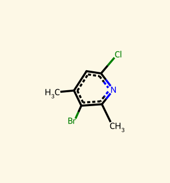 Cc1cc(Cl)nc(C)c1Br